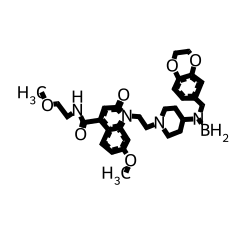 BN(Cc1ccc2c(c1)OCCO2)C1CCN(CCn2c(=O)cc(C(=O)NCCOC)c3ccc(OC)cc32)CC1